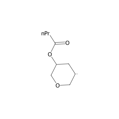 [CH2]CCC(=O)OC1C[CH]COC1